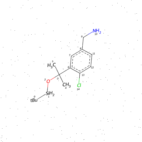 CC(C)(C)[SiH2]OC(C)(C)c1cc(CN)ccc1Cl